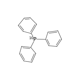 c1ccc([10P](c2ccccc2)c2ccccc2)cc1